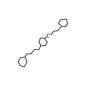 C1CCC(CCCCC2CCC(CCCCC3CCCCC3)CC2)CC1